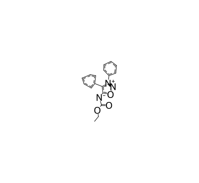 CCOC(=O)[N-]c1on[n+](-c2ccccc2)c1-c1ccccc1